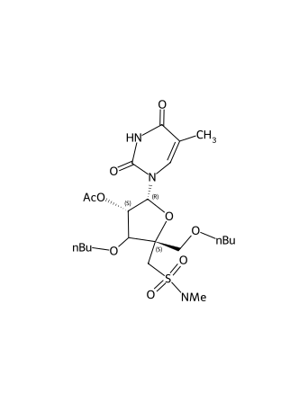 CCCCOC[C@]1(CS(=O)(=O)NC)O[C@@H](n2cc(C)c(=O)[nH]c2=O)[C@@H](OC(C)=O)C1OCCCC